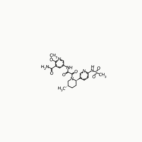 COc1ncc(NC(=O)C(=O)N2C[C@@H](C)CC[C@@H]2c2ccc(NS(C)(=O)=O)nc2)cc1C(N)=O